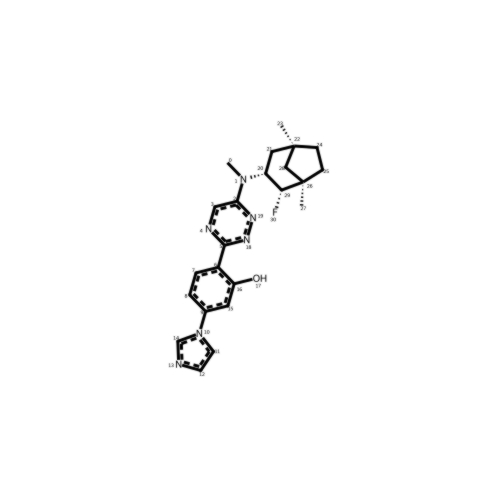 CN(c1cnc(-c2ccc(-n3ccnc3)cc2O)nn1)[C@@H]1C[C@@]2(C)CC[C@](C)(C2)[C@@H]1F